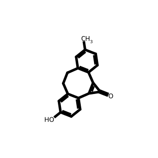 Cc1ccc2c(c1)CCc1cc(O)ccc1-c1c-2c1=O